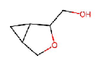 OCC1OCC2CC21